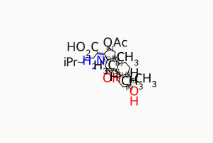 CC(=O)O[C@H]1C[C@@]2(C)[C@@](N)(C[C@@H](O)[C@H]3[C@@]4(C)CC[C@@H](O)[C@@H](C)[C@@H]4CC[C@@]32C)/C1=C(\CCCC(C)C)C(=O)O